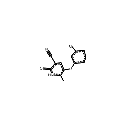 Cc1[nH]c(=O)c(C#N)cc1Sc1cccc(Cl)c1